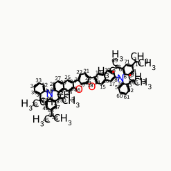 CC(C)c1ccc(N(c2ccc3cc4c(cc3c2)oc2c4ccc3c4cc5ccc(N(c6ccccc6C(C)C)c6ccc(C(C)C)cc6C(C)C)cc5cc4oc32)c2ccccc2C(C)C)c(C(C)C)c1